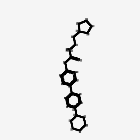 O=C(Cc1ccc(-c2ccc(N3CCCCC3)cc2)cn1)NCCC1CCCC1